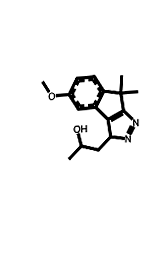 COc1ccc2c(c1)C1=C(N=NC1CC(C)O)C2(C)C